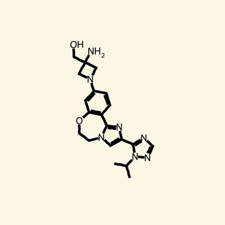 CC(C)n1ncnc1-c1cn2c(n1)-c1ccc(N3CC(N)(CO)C3)cc1OCC2